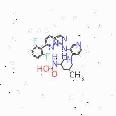 CC1CC(NC(=O)O)CN(c2ccncc2Nc2ncc3ccc(-c4c(F)cccc4F)nn23)C1